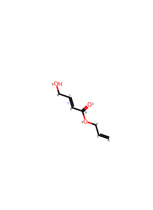 C=CCOC(=O)/C=C/CO